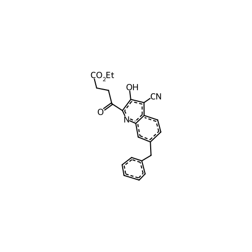 CCOC(=O)CCC(=O)c1nc2cc(Cc3ccccc3)ccc2c(C#N)c1O